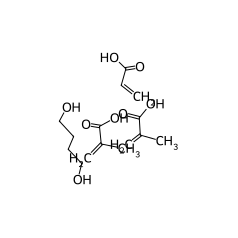 C=C(C)C(=O)O.C=C(C)C(=O)O.C=CC(=O)O.OCCCCO